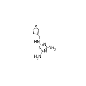 Nc1nc(N)nc(NCc2ccsc2)n1